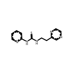 S=C(NCCc1cnccn1)Nc1ccccn1